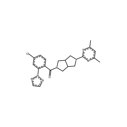 Cc1cc(C)nc(N2CC3CN(C(=O)c4ccc(Cl)cc4-n4nccn4)CC3C2)n1